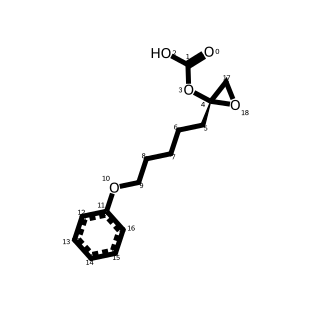 O=C(O)O[C@]1(CCCCCOc2ccccc2)CO1